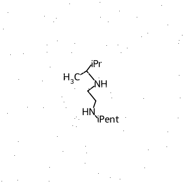 CCCC(C)NCCNC(C)C(C)C